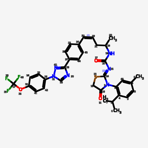 Cc1ccc(C(C)C)c(N2C(=O)CS/C2=N\C(=O)NC(C)C/C=C\c2ccc(-c3ncn(-c4ccc(OC(F)(F)F)cc4)n3)cc2)c1